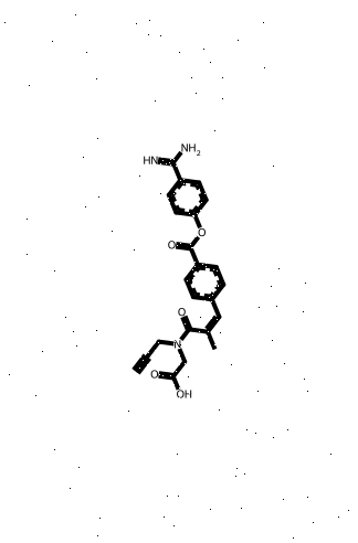 C#CCN(CC(=O)O)C(=O)C(C)=Cc1ccc(C(=O)Oc2ccc(C(=N)N)cc2)cc1